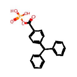 O=C(OP(=O)(O)O)c1ccc(C(c2ccccc2)c2ccccc2)cc1